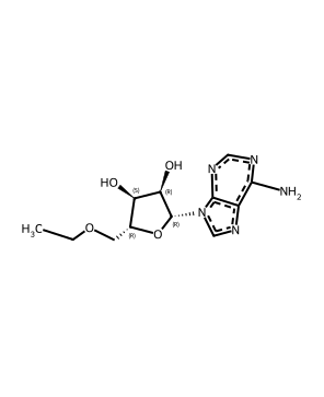 CCOC[C@H]1O[C@@H](n2cnc3c(N)ncnc32)[C@H](O)[C@@H]1O